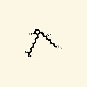 CCCCCCC(O)/C=C/C1CCC(O)C1CCCCCCCC(=O)O